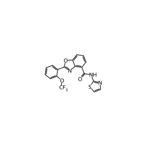 O=C(Nc1nccs1)c1cccc2oc(-c3ccccc3OC(F)(F)F)nc12